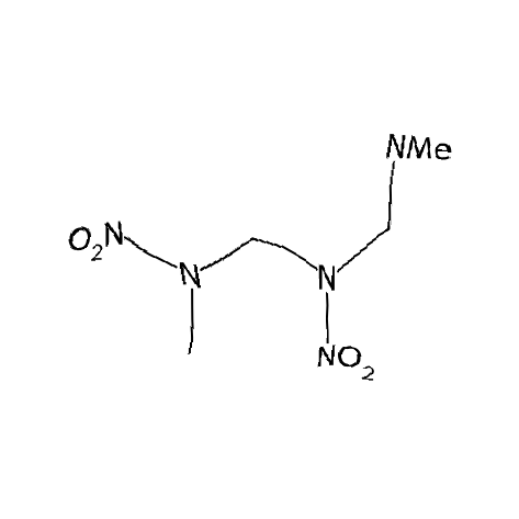 CNCN(CN(C)[N+](=O)[O-])[N+](=O)[O-]